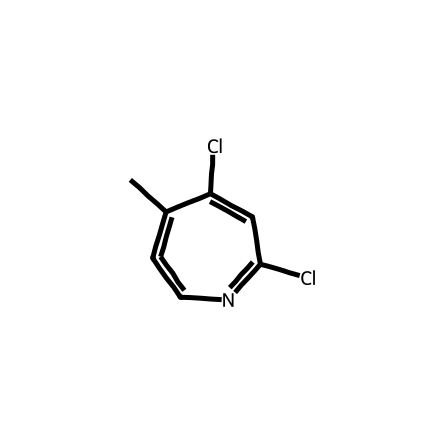 CC1=C=CN=C(Cl)C=C1Cl